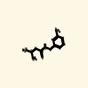 Cc1cccc(CNC(=O)CN(C)C)c1